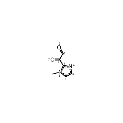 Cn1ccnc1C(=O)[C]=O